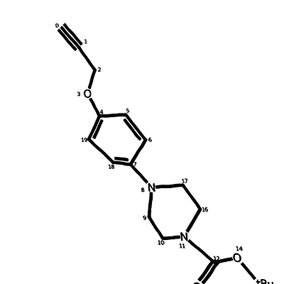 C#CCOc1ccc(N2CCN(C(=O)OC(C)(C)C)CC2)cc1